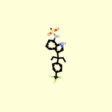 CCC(CC)(c1ccc(C(F)(F)F)cc1)c1c[nH]c2c(NS(C)(=O)=O)cccc12